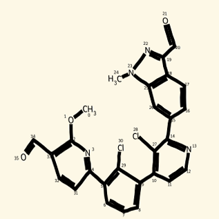 COc1nc(-c2cccc(-c3ccnc(-c4ccc5c(C=O)nn(C)c5c4)c3Cl)c2Cl)ccc1C=O